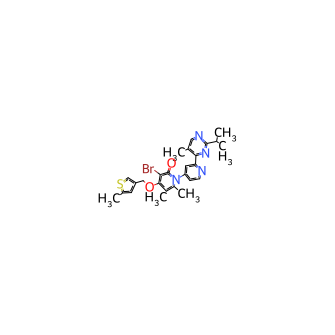 Cc1cc(COc2c(C)c(C)n(-c3ccnc(-c4nc(C(C)C)ncc4C)c3)c(=O)c2Br)cs1